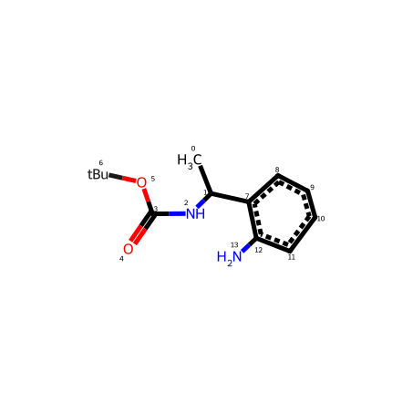 CC(NC(=O)OC(C)(C)C)c1ccccc1N